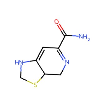 NC(=O)C1=NCC2SCNC2=C1